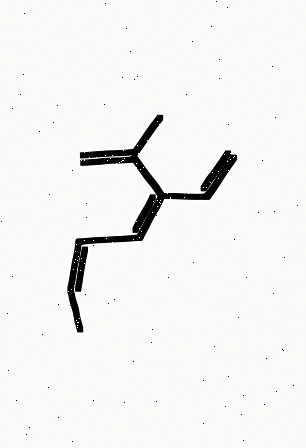 C=C/C(=C/C=C\C)C(=C)C